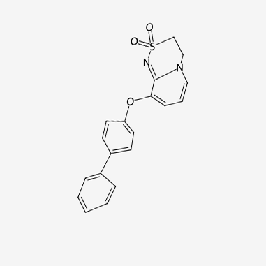 O=S1(=O)CCN2C=CC=C(Oc3ccc(-c4ccccc4)cc3)C2=N1